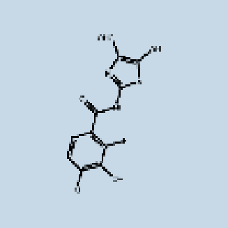 O=Cc1nc(NC(=O)c2ccc(Cl)c(O)c2F)sc1S